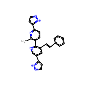 Cc1nc(-c2ccn[nH]2)ccc1-c1ncc(-c2ccn[nH]2)cc1/C=C/c1ccccc1